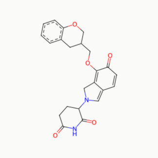 O=C1CCC(N2C=C3C=CC(=O)C(OCC4COc5ccccc5C4)=C3C2)C(=O)N1